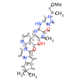 COCC(C)n1cc(Nc2nc(-c3ccnc(-n4ccn5c6c(cc5c4=O)CC(C)(C)C6)c3CO)cn(C)c2=O)nn1